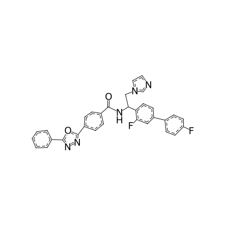 O=C(NC(Cn1ccnc1)c1ccc(-c2ccc(F)cc2)cc1F)c1ccc(-c2nnc(-c3ccccc3)o2)cc1